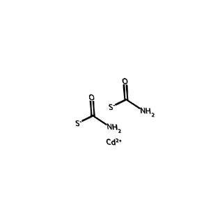 NC(=O)[S-].NC(=O)[S-].[Cd+2]